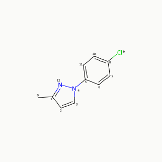 Cc1ccn(-c2ccc(Cl)cc2)n1